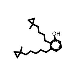 CC1(CCCCCc2cccc(O)c2CCCCC2(C)CC2)CC1